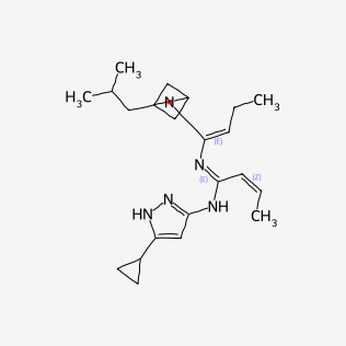 C\C=C/C(=N\C(=C\CC)N1CC2(CC(C)C)CC1C2)Nc1cc(C2CC2)[nH]n1